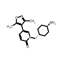 Cc1noc(C)c1-c1ccc(=O)n(C[C@H]2CC[C@H](N)CC2)c1